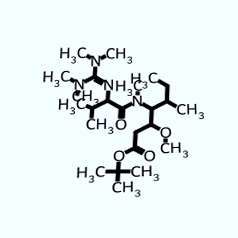 CCC(C)C(C(CC(=O)OC(C)(C)C)OC)N(C)C(=O)C(N=C(N(C)C)N(C)C)C(C)C